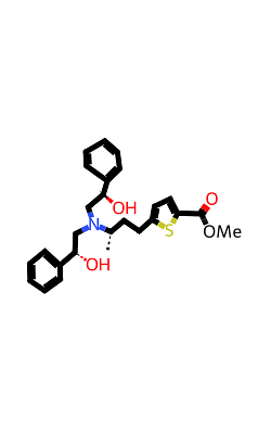 COC(=O)c1ccc(CC[C@H](C)N(C[C@H](O)c2ccccc2)C[C@H](O)c2ccccc2)s1